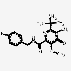 COc1c(C(=O)NCc2ccc(F)cc2)nc(C(C)(C)N)n(C)c1=O